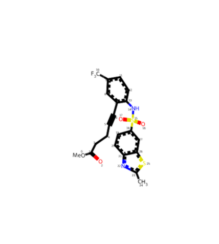 COC(=O)CCC#Cc1cc(C(F)(F)F)ccc1NS(=O)(=O)c1ccc2nc(C)sc2c1